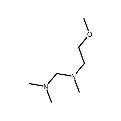 COCCN(C)CN(C)C